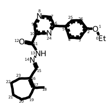 CCOc1ccc(-c2cncc(C(=O)N/N=C/C3=C(C)CCCCC3)n2)cc1